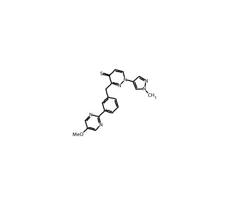 COc1cnc(-c2cccc(Cc3nn(-c4cnn(C)c4)ccc3=S)c2)nc1